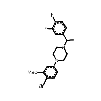 COc1cc(N2CCN(C(C)c3ccc(F)c(F)c3)CC2)ccc1Br